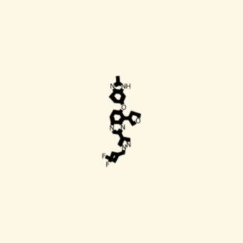 Cc1nc2ccc(Oc3ccc4ncc(-c5cnn(CC6CC(F)(F)C6)c5)nc4c3C3CCOC3)cc2[nH]1